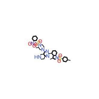 Cc1ccc(S(=O)(=O)n2cc(C)c3c(-c4nc5c(c(N6CCN(S(=O)(=O)c7ccccc7[N+](=O)[O-])C(C)C6)n4)CNCC5)cccc32)cc1